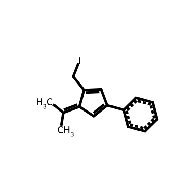 CC(C)=C1C=C(c2ccccc2)C=C1CI